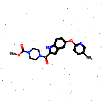 CC(C)(C)OC(=O)N1CCN(C(=O)c2cc3cc(Oc4ccc([N+](=O)[O-])cn4)ccc3[nH]2)CC1